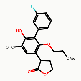 COCCOc1c(C2CCOC2=O)cc(C=O)c(O)c1-c1cccc(F)c1